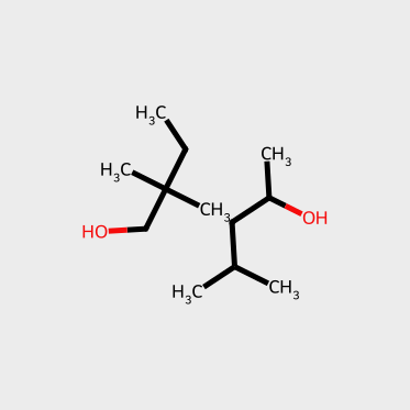 CC(C)CC(C)O.CCC(C)(C)CO